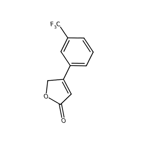 O=C1C=C(c2cccc(C(F)(F)F)c2)CO1